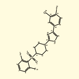 O=S(=O)(c1c(F)cccc1F)C1CCN(c2nc(-c3ccc(F)c(Cl)c3)cs2)CC1